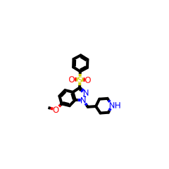 COc1ccc2c(S(=O)(=O)c3ccccc3)nn(CC3CCNCC3)c2c1